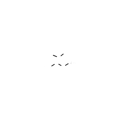 CCCCOOCCCC.CCOCC